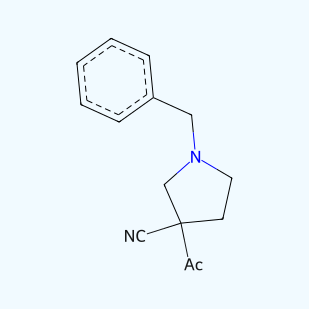 CC(=O)C1(C#N)CCN(Cc2ccccc2)C1